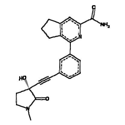 CN1CC[C@@](O)(C#Cc2cccc(-c3nc(C(N)=O)cc4c3CCC4)c2)C1=O